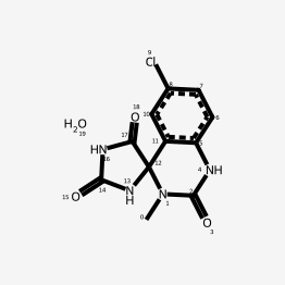 CN1C(=O)Nc2ccc(Cl)cc2C12NC(=O)NC2=O.O